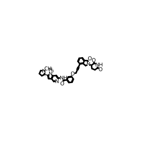 CN1CCC[C@@H]1c1cc2cnc(NC(=O)c3cccc(OCC#Cc4cccc5c4CN(C4CCC(=O)NC4=O)C5=O)c3)cc2[nH]1